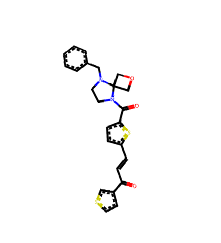 O=C(/C=C/c1ccc(C(=O)N2CCN(Cc3ccccc3)C23COC3)s1)c1ccsc1